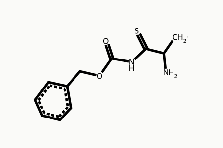 [CH2]C(N)C(=S)NC(=O)OCc1ccccc1